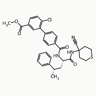 COC(=O)c1ccc(Cl)c(-c2ccc(C(=O)N[C@@H](C[C@H](C)c3ccccc3)C(=O)NC3(C#N)CCSCC3)cc2)c1